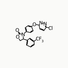 O=C1OCC(c2cccc(C(F)(F)F)c2)N1c1ccc(Oc2ccc(Cl)nn2)cc1